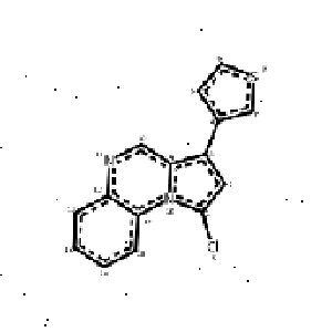 Clc1cc(-c2ccsc2)c2cnc3ccccc3n12